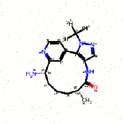 [2H]C([2H])([2H])n1ncc2c1-c1ccnc(c1)[C@@H](N)CCC[C@@H](C)C(=O)N2